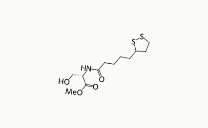 COC(=O)[C@H](CO)NC(=O)CCCCC1CCSS1